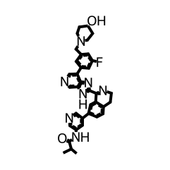 CC(C)C(=O)Nc1cncc(-c2ccc3c(c2)C(c2nc4c(-c5cc(F)cc(CN6CCC(O)CC6)c5)cncc4[nH]2)=NCC3)c1